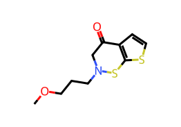 COCCCN1CC(=O)c2ccsc2S1